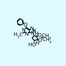 Cc1nc(Oc2ccccc2)c2nnn([C@@H]3C[C@H](O)[C@H]4OC(C)(C)O[C@H]43)c2n1